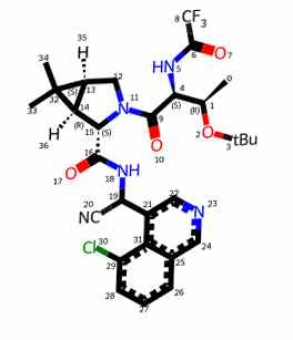 C[C@@H](OC(C)(C)C)[C@H](NC(=O)C(F)(F)F)C(=O)N1C[C@H]2[C@@H]([C@H]1C(=O)NC(C#N)c1cncc3cccc(Cl)c13)C2(C)C